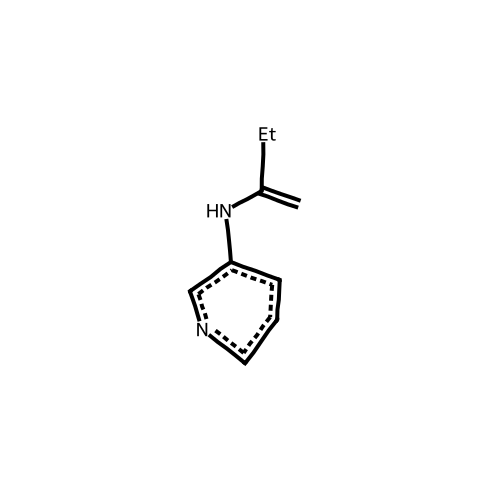 C=C(CC)Nc1cccnc1